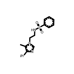 Cc1c(C(C)C)ncn1CCNS(=O)(=O)c1ccccc1